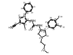 COCCN1C[C@@H](NC(=O)Nc2c(C)c(C#N)nn2-c2ccccc2)[C@H](c2ccc(F)c(F)c2)C1